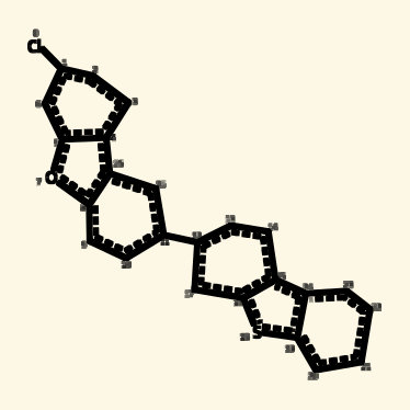 Clc1ccc2c(c1)oc1ccc(-c3ccc4c(c3)sc3ccccc34)cc12